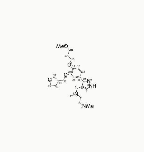 CNCCN(C)Cc1c[nH]nc1-c1ccc(OCCCOC)c(OCC2CCOC2)c1